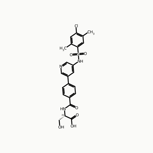 Cc1cc(S(=O)(=O)Nc2cncc(-c3ccc(C(=O)N[C@@H](CO)C(=O)O)cc3)c2)c(C)cc1Cl